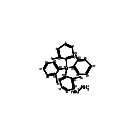 CCCC[NH3+].Cc1ccccc1[B-](c1ccccc1C)(c1ccccc1C)c1ccccc1C